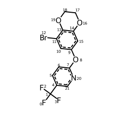 FC(F)(F)c1ccc(Oc2cc(Br)c3c(c2)OCCO3)nc1